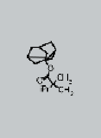 CC(C)C(C)(C)C(=O)OC12CC3CC(CC(C3)C1)C2